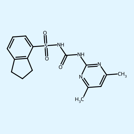 Cc1cc(C)nc(NC(=O)NS(=O)(=O)c2cccc3c2CCC3)n1